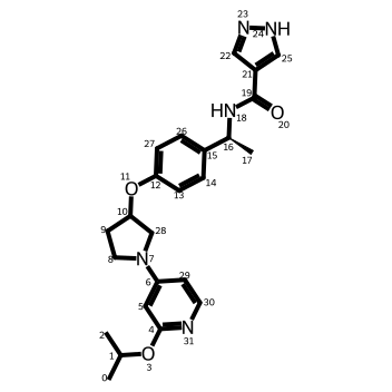 CC(C)Oc1cc(N2CCC(Oc3ccc([C@H](C)NC(=O)c4cn[nH]c4)cc3)C2)ccn1